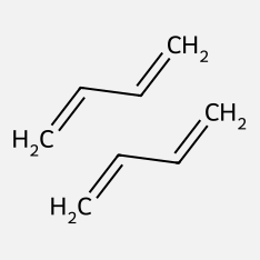 C=CC=C.C=CC=C